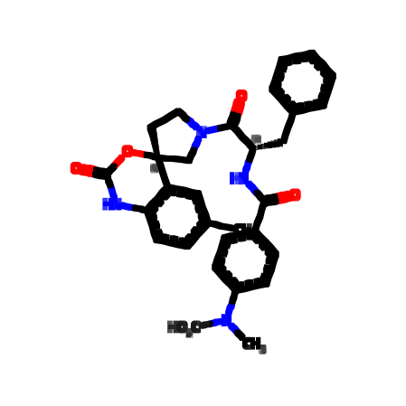 Cc1ccc2c(c1)[C@]1(CCN(C(=O)[C@H](Cc3ccccc3)NC(=O)c3ccc(N(C)C(=O)O)cc3)C1)OC(=O)N2